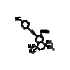 COc1cc2c(cc1C#Cc1ccc(C#N)cc1)C(C)(C)CCC2(C)C